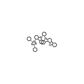 c1ccc(-c2nc(-c3ccccc3)n(-c3cccc4c3c3ccccc3n4-c3ccccc3-n3c4ccccc4c4c5oc6ccccc6c5ccc43)n2)cc1